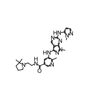 Cc1ncc(C(=O)NCCN2CCCC2(C)C)cc1Nc1nn(C)c2nc(Nc3ccnn3C)ncc12